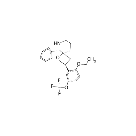 CCOc1ccc(OC(F)(F)F)cc1[C@H]1CO[C@]2(CCCN[C@H]2c2ccccc2)C1